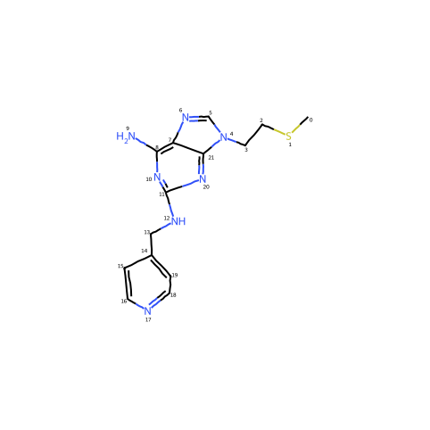 CSCCn1cnc2c(N)nc(NCc3ccncc3)nc21